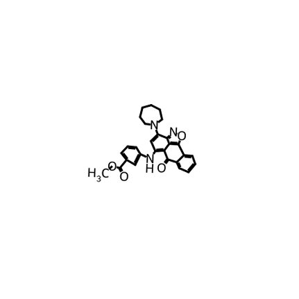 COC(=O)c1cccc(Nc2cc(N3CCCCCC3)c3noc4c3c2C(=O)c2ccccc2-4)c1